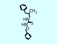 CC(CNC(=S)NOCc1ccccc1)Cc1ccccc1